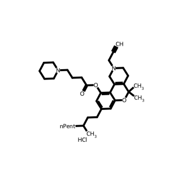 C#CCN1CCC2=C(C1)c1c(OC(=O)CCCN3CCCCC3)cc(CCC(C)CCCCC)cc1OC2(C)C.Cl